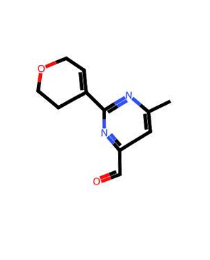 Cc1cc(C=O)nc(C2=CCOCC2)n1